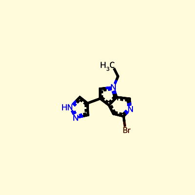 CCn1cc(-c2cn[nH]c2)c2cc(Br)ncc21